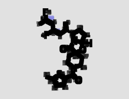 C=C(/C=C(F)\C=C(/C)F)[C@@H]1CC[C@H]2OC3(CCN(C(=O)c4ccc(C)s4)CC3)C(=O)N21